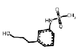 CS(=O)(=O)Nc1cccc(CCCO)c1